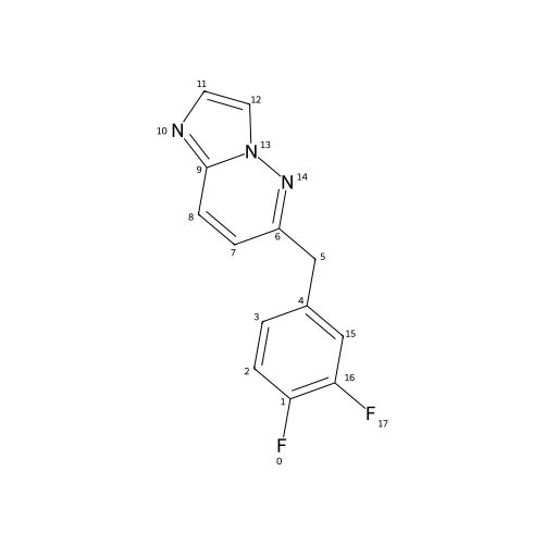 Fc1ccc(Cc2ccc3nccn3n2)cc1F